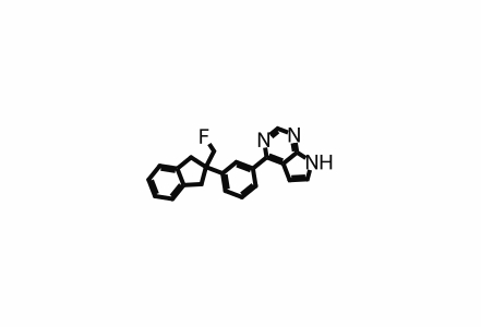 FCC1(c2cccc(-c3ncnc4[nH]ccc34)c2)Cc2ccccc2C1